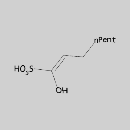 CCCCCCC=C(O)S(=O)(=O)O